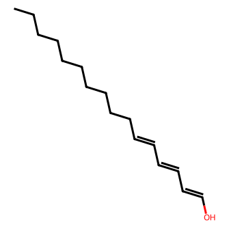 CCCCCCCCCCC=CC=CC=CO